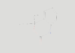 CCCCCC1(CCCCC)OC(=O)Nc2ccccc21